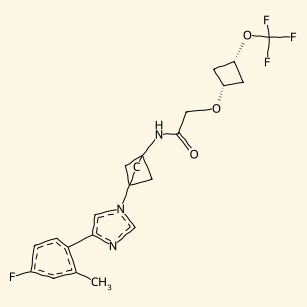 Cc1cc(F)ccc1-c1cn(C23CC(NC(=O)CO[C@H]4C[C@@H](OC(F)(F)F)C4)(C2)C3)cn1